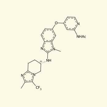 CC(=O)Nc1cc(Oc2ccc3nc(N[C@H]4CCc5nc(C)c(C(F)(F)F)n5C4)n(C)c3c2)ccn1